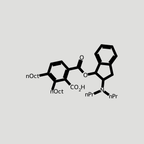 CCCCCCCCc1ccc(C(=O)OC2c3ccccc3CC2N(CCC)CCC)c(C(=O)O)c1CCCCCCCC